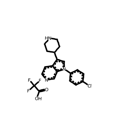 Clc1ccc(-n2cc(C3CCNCC3)c3ccncc32)cc1.O=C(O)C(F)(F)F